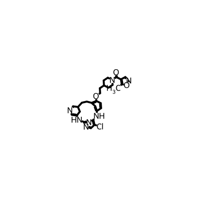 Cc1oncc1C(=O)N1CCC(CCOc2ccc3cc2CCC2C=NC=C(C2)Nc2ncc(Cl)c(n2)N3)CC1